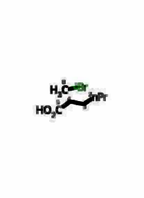 CBr.CCCCCC(=O)O